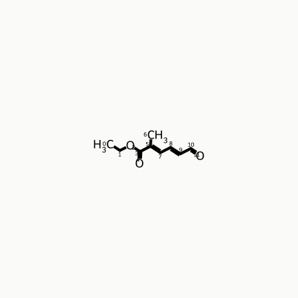 CCOC(=O)/C(C)=C/C=C/C=O